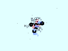 Cc1ccc(C[C@H](C[C@H](O)[C@H](Cc2ccccc2)NC(=O)OC(C)(C)C)C(=O)N[C@H](C(=O)N2CCC(N)CC2)C(C)C)cc1